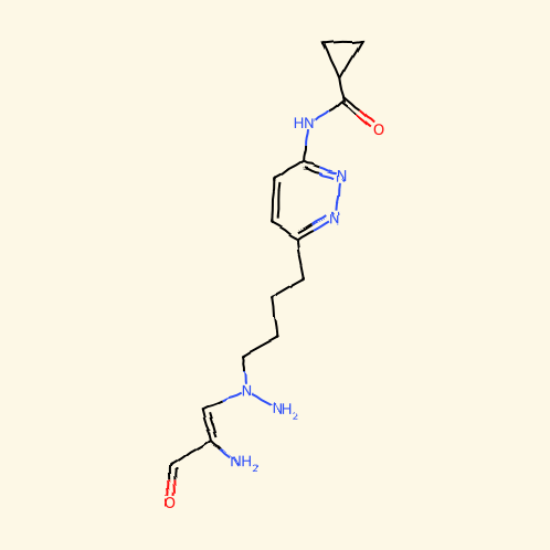 N/C(C=O)=C\N(N)CCCCc1ccc(NC(=O)C2CC2)nn1